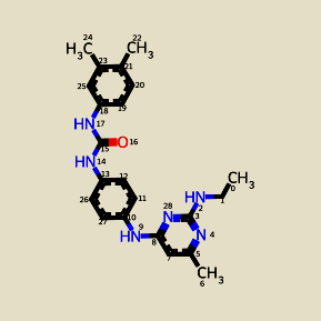 CCNc1nc(C)cc(Nc2ccc(NC(=O)Nc3ccc(C)c(C)c3)cc2)n1